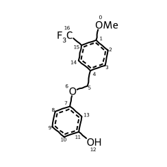 COc1ccc(COc2cccc(O)c2)cc1C(F)(F)F